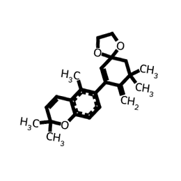 C=C1C(c2ccc3c(c2C)C=CC(C)(C)O3)=CC2(CC1(C)C)OCCO2